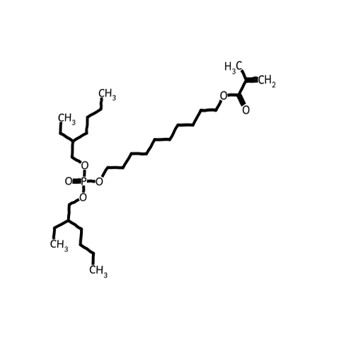 C=C(C)C(=O)OCCCCCCCCCCOP(=O)(OCC(CC)CCCC)OCC(CC)CCCC